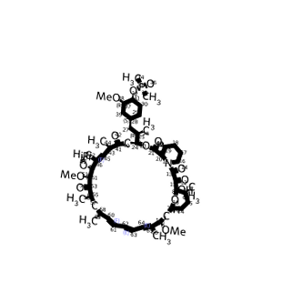 CO[C@H]1C[C@@H]2CC[C@@H](C)[C@@](O)(O2)C(=O)C(=O)N2CCCC[C@H]2C(=O)O[C@H]([C@H](C)C[C@@H]2CC[C@@H](OP(C)(C)=O)[C@H](OC)C2)CC(=O)[C@H](C)/C=C(\C)[C@@H](OC(C)C)[C@@H](OC)C(=O)[C@H](C)C[C@H](C)/C=C/C=C/C=C/1C